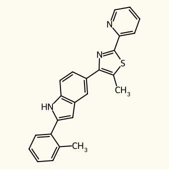 Cc1ccccc1-c1cc2cc(-c3nc(-c4ccccn4)sc3C)ccc2[nH]1